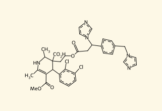 COC(=O)C1=C(C)NC(C)C(CCOC(=O)CC(c2ccc(Cn3ccnc3)cc2)n2ccnc2)(C(=O)O)C1c1cccc(Cl)c1Cl